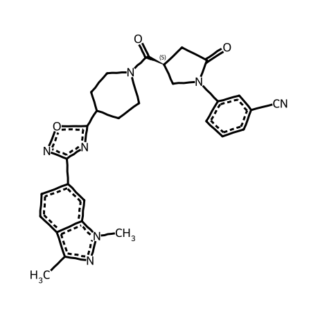 Cc1nn(C)c2cc(-c3noc(C4CCN(C(=O)[C@H]5CC(=O)N(c6cccc(C#N)c6)C5)CC4)n3)ccc12